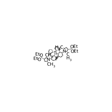 CCOC(OCC)c1cc(C)n(-c2ccc(F)[c]([Ti]([C]3=CC=CC3)([C]3=CC=CC3)[c]3c(F)ccc(-n4c(C)cc(C(OCC)OCC)c4C)c3F)c2F)c1C